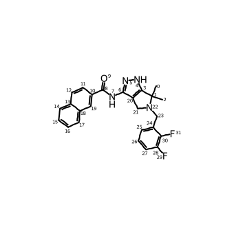 CC1(C)c2[nH]nc(NC(=O)c3ccc4ccccc4c3)c2CN1Cc1cccc(F)c1F